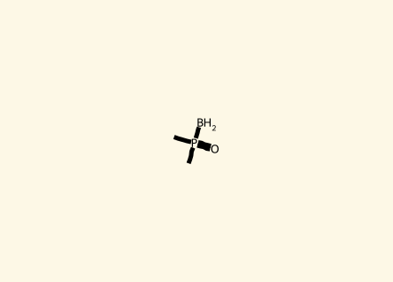 BP(C)(C)=O